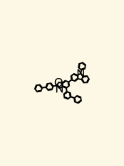 c1ccc(-c2ccc(-c3nc4c(-c5cccc(-c6ccccc6)c5)cc(-c5ccc6c(c5)c5ccccc5n6-c5ccccc5)cc4o3)cc2)cc1